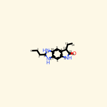 CCCC1Nc2cc3c(cc2N1)C(CC)C(=O)N3